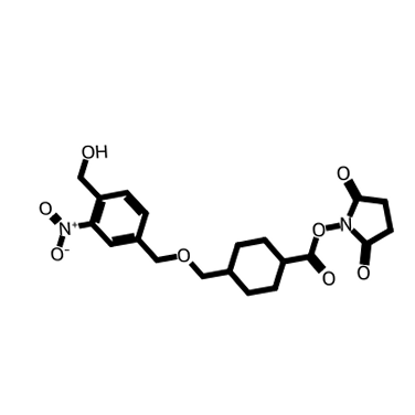 O=C(ON1C(=O)CCC1=O)C1CCC(COCc2ccc(CO)c([N+](=O)[O-])c2)CC1